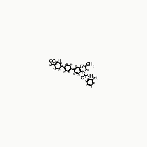 CCc1ccccc1NC(=O)N1CC(C)Oc2cc(-c3ccc(C4CCC(CC(=O)O)CC4)cc3)ccc21